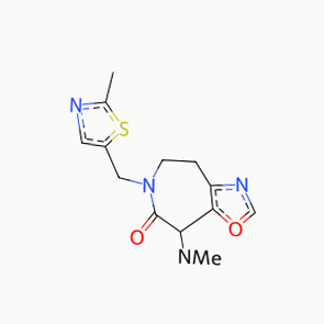 CNC1C(=O)N(Cc2cnc(C)s2)CCc2ncoc21